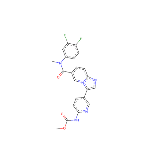 COC(=O)Nc1ccc(-c2cnc3ccc(C(=O)N(C)c4ccc(F)c(F)c4)cn23)cn1